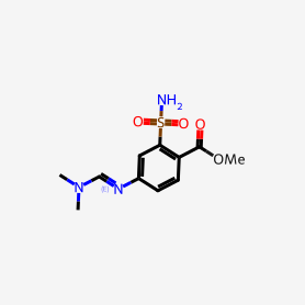 COC(=O)c1ccc(/N=C/N(C)C)cc1S(N)(=O)=O